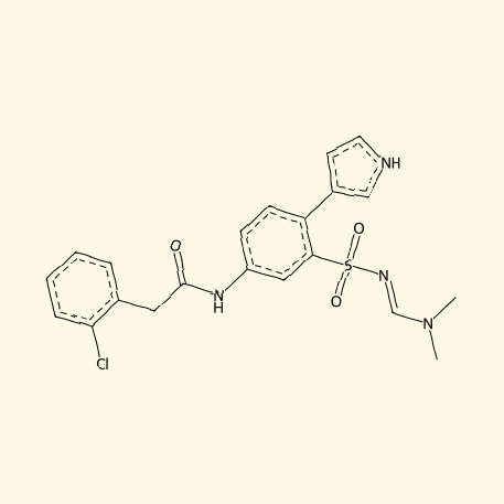 CN(C)C=NS(=O)(=O)c1cc(NC(=O)Cc2ccccc2Cl)ccc1-c1cc[nH]c1